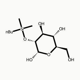 CCCC[Si](C)(C)O[C@@H]1[C@@H](O)[C@H](O)[C@@H](CO)O[C@@H]1O